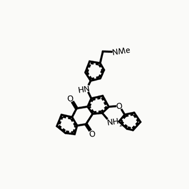 CNCc1ccc(Nc2cc(Oc3ccccc3)c(N)c3c2C(=O)c2ccccc2C3=O)cc1